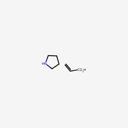 C1CCNC1.C=CC(=O)O